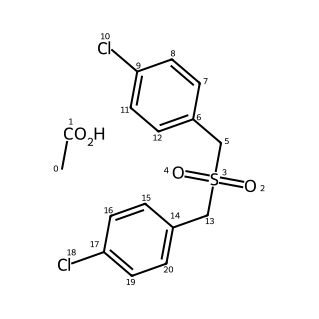 CC(=O)O.O=S(=O)(Cc1ccc(Cl)cc1)Cc1ccc(Cl)cc1